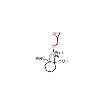 CCCC1(OC)CCCC[Si]1(OC)OC.CCCCCOCC1CO1